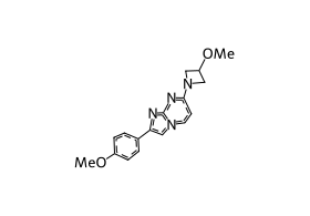 COc1ccc(-c2cn3ccc(N4CC(OC)C4)nc3n2)cc1